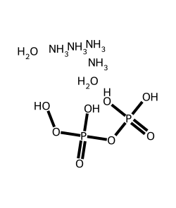 N.N.N.N.O.O.O=P(O)(O)OP(=O)(O)OO